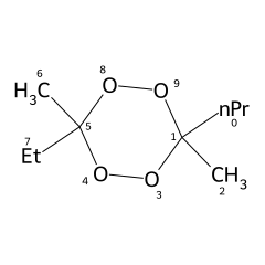 CCCC1(C)OOC(C)(CC)OO1